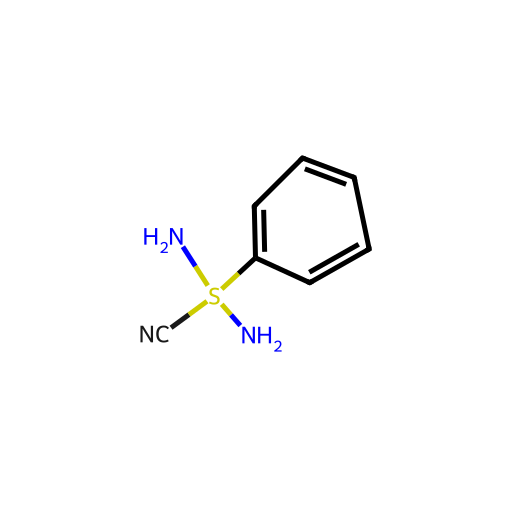 N#CS(N)(N)c1ccccc1